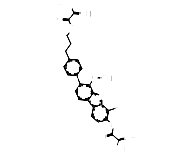 C=C(C)C(=O)OCCCc1ccc(-c2ccc3c(sc4c(F)c(OC(=O)C(=C)C)ccc43)c2OC)cc1